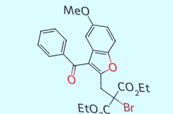 CCOC(=O)C(Br)(Cc1oc2ccc(OC)cc2c1C(=O)c1ccccc1)C(=O)OCC